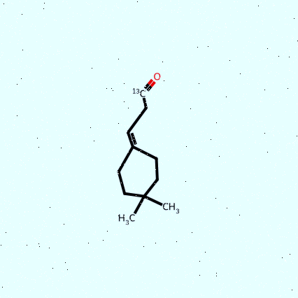 CC1(C)CCC(=CC[13CH]=O)CC1